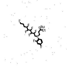 CCCCC(CC)CCP(CC(F)C(F)C(F)C(F)C(F)CCCF)c1ccc(F)cc1F